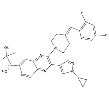 CC(C)(O)[C@@H](O)c1cc2nc(N3CCC(=Cc4ccc(F)cc4F)CC3)c(-c3cnn(C4CC4)c3)nc2cn1